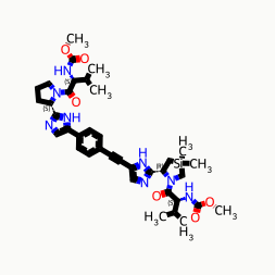 COC(=O)N[C@H](C(=O)N1C[Si](C)(C)C[C@H]1c1ncc(C#Cc2ccc(-c3cnc([C@@H]4CCCN4C(=O)[C@@H](NC(=O)OC)C(C)C)[nH]3)cc2)[nH]1)C(C)C